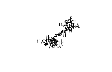 CC[C@@H](NC(=O)[C@@H]1C[C@H](NC(=O)CCOCCOCCC(=O)NCCn2nc3c(c2C#N)-c2cnc(N)c(n2)O[C@H](C)c2cc(F)ccc2C(=O)N(C)C3)CN1C(=O)[C@@H](NC(=O)[C@H](C)NC)C(C)(C)C)c1ccccc1